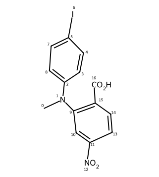 CN(c1ccc(I)cc1)c1cc([N+](=O)[O-])ccc1C(=O)O